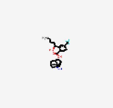 CCCCC(O)c1cc(C(F)(F)F)ccc1C(=O)O.NC12CC3CC(CC(C3)C1)C2